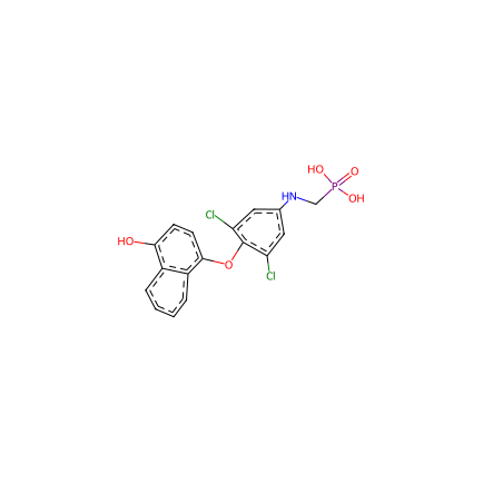 O=P(O)(O)CNc1cc(Cl)c(Oc2ccc(O)c3ccccc23)c(Cl)c1